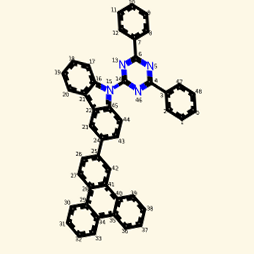 c1ccc(-c2nc(-c3ccccc3)nc(-n3c4ccccc4c4cc(-c5ccc6c7ccccc7c7ccccc7c6c5)ccc43)n2)cc1